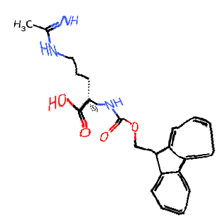 CC(=N)NCCC[C@H](NC(=O)OCC1c2ccccc2-c2ccccc21)C(=O)O